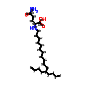 CCCCC(CCCC)CCCCCCCCCCCN[C@@H](CCC(N)=O)C(=O)O